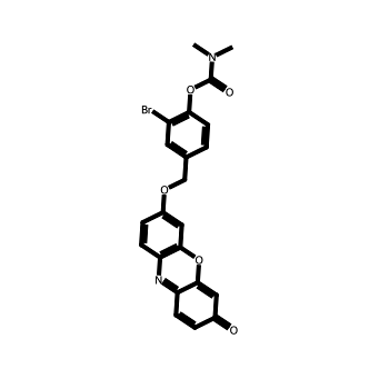 CN(C)C(=O)Oc1ccc(COc2ccc3nc4ccc(=O)cc-4oc3c2)cc1Br